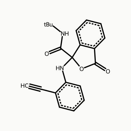 C#Cc1ccccc1NC1(C(=O)NC(C)(C)C)OC(=O)c2ccccc21